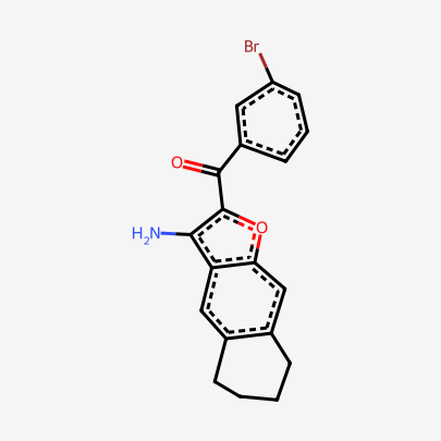 Nc1c(C(=O)c2cccc(Br)c2)oc2cc3c(cc12)CCCC3